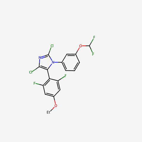 CCOc1cc(F)c(-c2c(Cl)nc(Cl)n2-c2cccc(OC(F)F)c2)c(F)c1